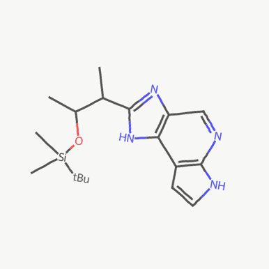 CC(O[Si](C)(C)C(C)(C)C)C(C)c1nc2cnc3[nH]ccc3c2[nH]1